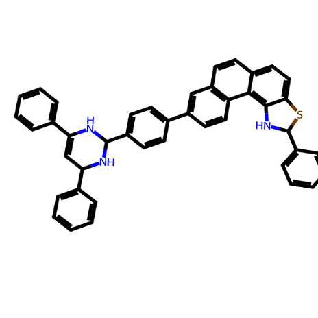 C1=C(c2ccccc2)NC(c2ccc(-c3ccc4c(ccc5ccc6c(c54)NC(c4ccccc4)S6)c3)cc2)NC1c1ccccc1